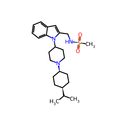 CC(C)[C@H]1CC[C@@H](N2CCC(n3c(CNS(C)(=O)=O)cc4ccccc43)CC2)CC1